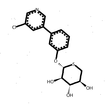 O[C@@H]1[C@@H](O)[C@H](Oc2cccc(-c3cncc(Cl)c3)c2)SC[C@H]1O